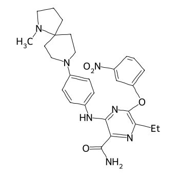 CCc1nc(C(N)=O)c(Nc2ccc(N3CCC4(CCCN4C)CC3)cc2)nc1Oc1cccc([N+](=O)[O-])c1